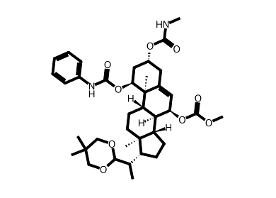 CNC(=O)O[C@@H]1CC2=C[C@@H](OC(=O)OC)[C@H]3[C@@H]4CC[C@H](C(C)C5OCC(C)(C)CO5)[C@@]4(C)CC[C@@H]3[C@@]2(C)[C@@H](OC(=O)Nc2ccccc2)C1